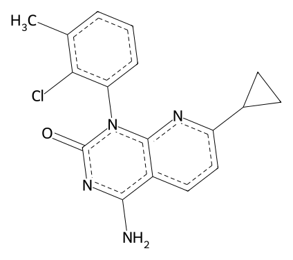 Cc1cccc(-n2c(=O)nc(N)c3ccc(C4CC4)nc32)c1Cl